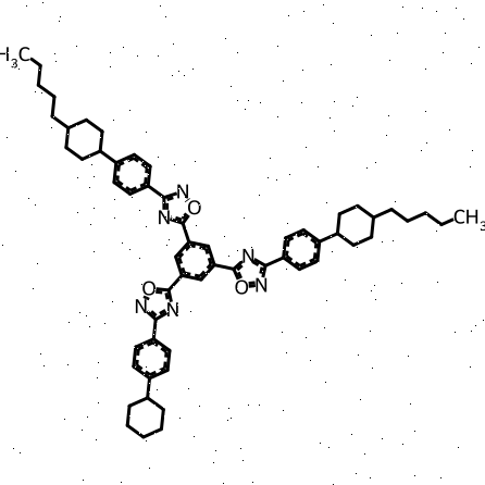 CCCCCC1CCC(c2ccc(-c3noc(-c4cc(-c5nc(-c6ccc(C7CCCCC7)cc6)no5)cc(-c5nc(-c6ccc(C7CCC(CCCCC)CC7)cc6)no5)c4)n3)cc2)CC1